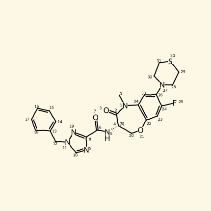 CN1C(=O)[C@@H](NC(=O)c2ncn(Cc3ccccc3)n2)COc2cc(F)c(N3CCSCC3)cc21